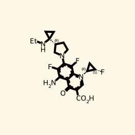 CCNC1([C@@H]2CCN(c3c(F)c(N)c4c(=O)c(C(=O)O)cn([C@@H]5C[C@@H]5F)c4c3F)C2)CC1